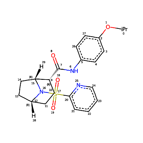 CC(C)Oc1ccc(NC(=O)[C@@H]2CC[C@@H]3CC[C@H]2N3S(=O)(=O)c2ccccn2)cc1